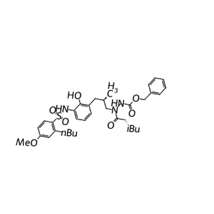 CCCCc1cc(OC)ccc1S(=O)(=O)Nc1cccc(C[C@@H](C)CN(NC(=O)OCc2ccccc2)C(=O)C[C@@H](C)CC)c1O